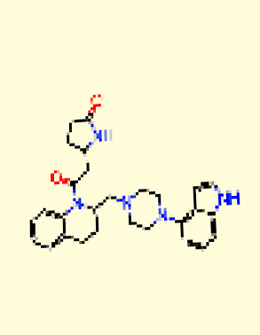 O=C1CCC(CC(=O)N2c3ccccc3CCC2CN2CCN(c3cccc4[nH]ccc34)CC2)N1